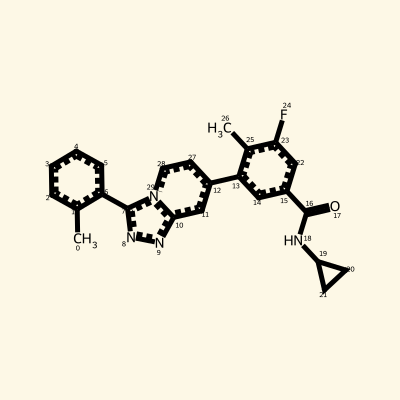 Cc1ccccc1-c1nnc2cc(-c3cc(C(=O)NC4CC4)cc(F)c3C)ccn12